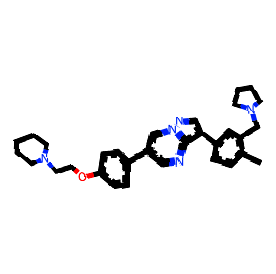 Cc1ccc(-c2cnn3cc(-c4ccc(OCCN5CCCCC5)cc4)cnc23)cc1CN1CCCC1